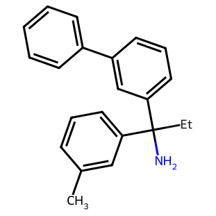 CCC(N)(c1cccc(C)c1)c1cccc(-c2ccccc2)c1